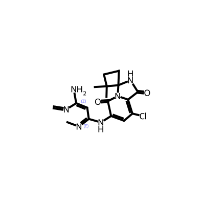 C=N/C(N)=C\C(=N/C)Nc1cc(Cl)c2n(c1=O)C1(CCC1(C)C)NC2=O